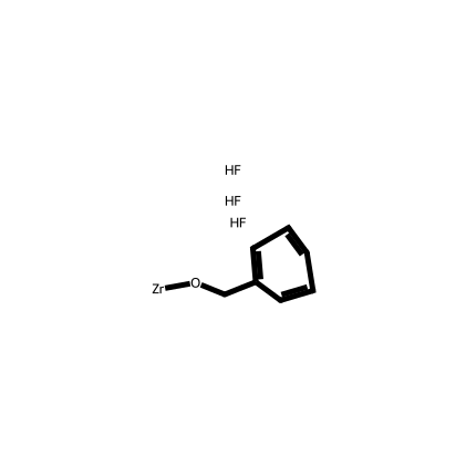 F.F.F.[Zr][O]Cc1ccccc1